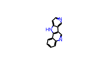 c1ccc2c(c1)ncc1c3cnccc3[nH]c21